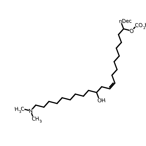 CCCCCCCCCCC(CCCCCCC/C=C\CC(O)CCCCCCCCCN(C)C)OC(=O)O